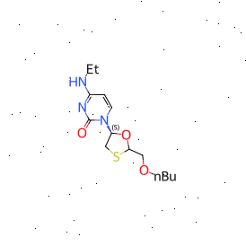 CCCCOCC1O[C@H](n2ccc(NCC)nc2=O)CS1